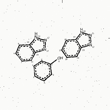 Oc1ccccc1.c1ccc2[nH]nnc2c1.c1ccc2[nH]nnc2c1